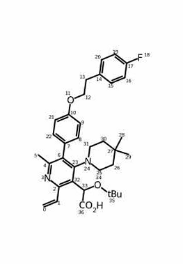 C=Cc1nc(C)c(-c2ccc(OCCc3ccc(F)cc3)cc2)c(N2CCC(C)(C)CC2)c1C(OC(C)(C)C)C(=O)O